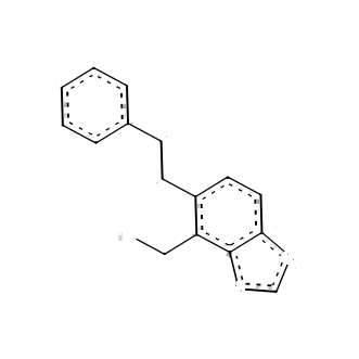 CC(C)Cc1c(CCc2ccccc2)ccc2[nH][c]nc12